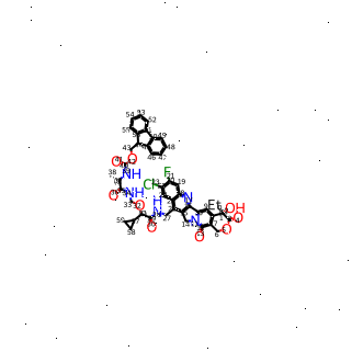 CC[C@@]1(O)C(=O)OCc2c1cc1n(c2=O)Cc2c-1nc1cc(F)c(Cl)cc1c2CNC(=O)[C@@H](OCNC(=O)[C@H](C)NC(=O)OCC1c2ccccc2-c2ccccc21)C1CC1